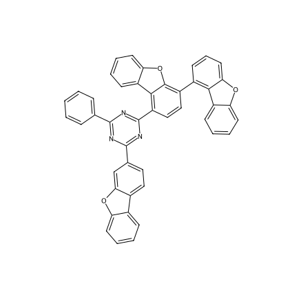 c1ccc(-c2nc(-c3ccc4c(c3)oc3ccccc34)nc(-c3ccc(-c4cccc5oc6ccccc6c45)c4oc5ccccc5c34)n2)cc1